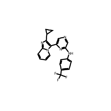 FC(F)(F)c1ccc(Nc2cncc(-c3c(C4CC4)nc4ccccn34)n2)cc1